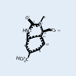 Cn1c(=O)[nH]c2cc(C(=O)O)ccc2c1=O